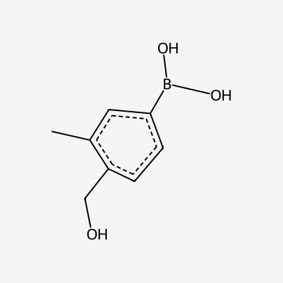 Cc1cc(B(O)O)ccc1CO